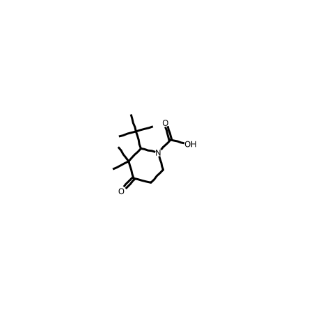 CC(C)(C)C1N(C(=O)O)CCC(=O)C1(C)C